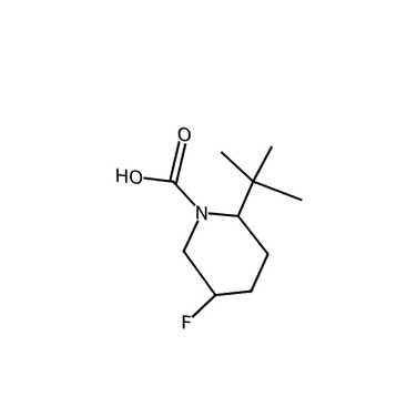 CC(C)(C)C1CCC(F)CN1C(=O)O